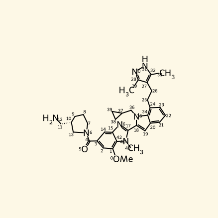 COc1cc(C(=O)N2CCC[C@@H](CN)C2)cc2nc(-c3cc4cccc(CCc5c(C)n[nH]c5C)c4n3CC3CC3)n(C)c12